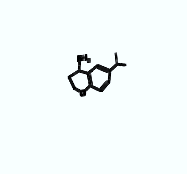 CC(C)c1ccc2c(c1)C(N)CCO2